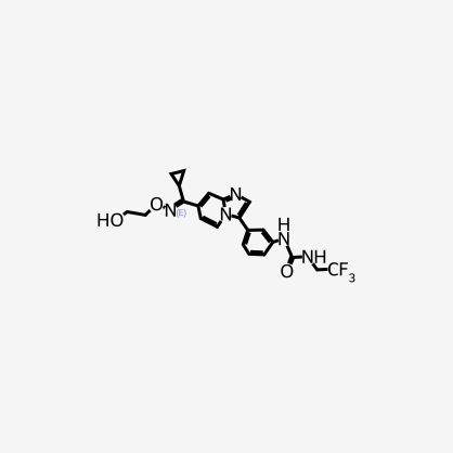 O=C(NCC(F)(F)F)Nc1cccc(-c2cnc3cc(/C(=N/OCCO)C4CC4)ccn23)c1